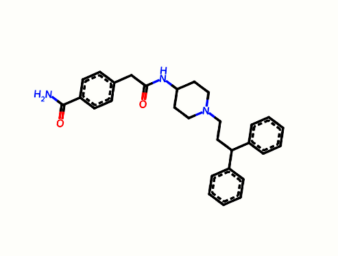 NC(=O)c1ccc(CC(=O)NC2CCN(CCC(c3ccccc3)c3ccccc3)CC2)cc1